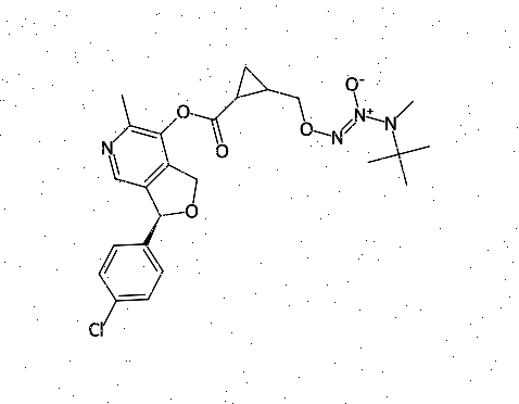 Cc1ncc2c(c1OC(=O)C1CC1CO/N=[N+](\[O-])N(C)C(C)(C)C)CO[C@H]2c1ccc(Cl)cc1